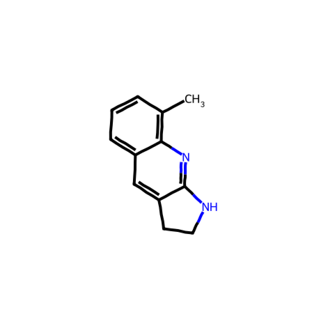 Cc1cccc2cc3c(nc12)NCC3